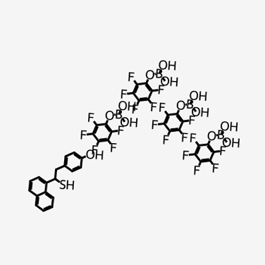 OB(O)Oc1c(F)c(F)c(F)c(F)c1F.OB(O)Oc1c(F)c(F)c(F)c(F)c1F.OB(O)Oc1c(F)c(F)c(F)c(F)c1F.OB(O)Oc1c(F)c(F)c(F)c(F)c1F.Oc1ccc(CC(S)c2cccc3ccccc23)cc1